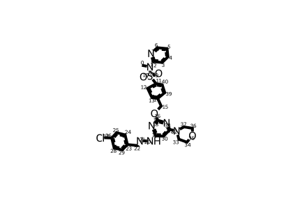 CN(c1ccccn1)S(=O)(=O)c1ccc(COc2nc(NN=Cc3ccc(Cl)cc3)cc(N3CCOCC3)n2)cc1